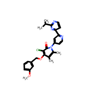 COc1cccc(COc2c(C)c(C)n(-c3ccnc(-c4ccnc(C(C)C)n4)c3)c(=O)c2Cl)c1